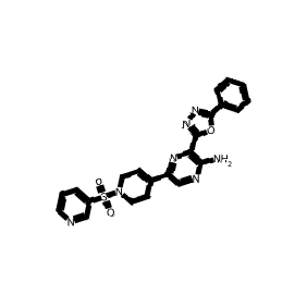 Nc1ncc(C2=CCN(S(=O)(=O)c3cccnc3)CC2)nc1-c1nnc(-c2ccccc2)o1